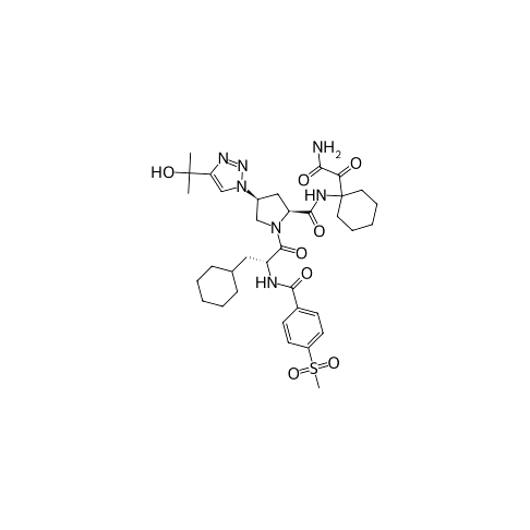 CC(C)(O)c1cn([C@H]2C[C@@H](C(=O)NC3(C(=O)C(N)=O)CCCCC3)N(C(=O)[C@@H](CC3CCCCC3)NC(=O)c3ccc(S(C)(=O)=O)cc3)C2)nn1